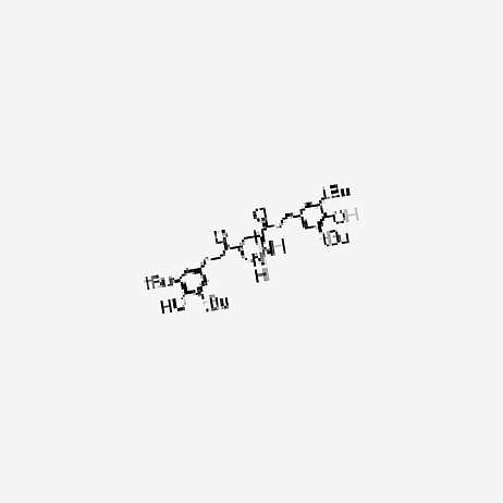 CC(C)(C)c1cc(CCC(=O)C2CNNN(C(=O)CCc3cc(C(C)(C)C)c(O)c(C(C)(C)C)c3)C2)cc(C(C)(C)C)c1O